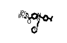 C=C(C)c1ccc(-c2nc3ccc(C(=O)N(CC(C)C)CC(C)C)cc3n2CCCN2CCCCC2)cc1